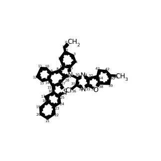 C=Cc1ccc2c(c1)c1c3ccccc3c3c4cc5ccccc5cc4sc3c1n2-c1nc2c(nc1Cl)oc1cc(C)ccc12